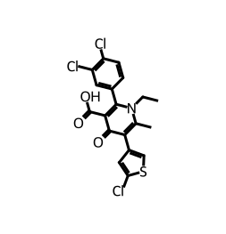 CCn1c(C)c(-c2csc(Cl)c2)c(=O)c(C(=O)O)c1-c1ccc(Cl)c(Cl)c1